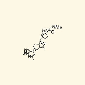 CNCC(=O)NC12CCC(Cn3nc(C)c4c3CCN(c3cc(C)nc5c3cnn5C)C4)(CC1)C2